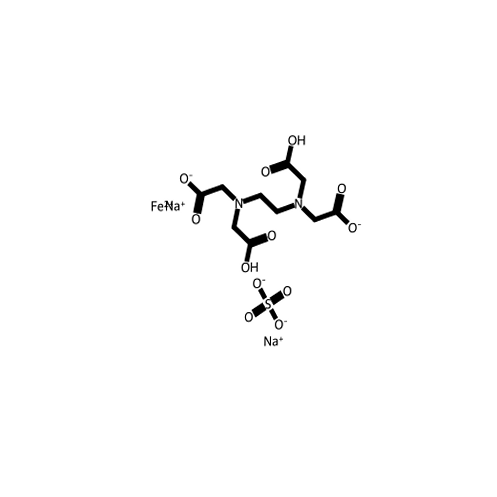 O=C([O-])CN(CCN(CC(=O)[O-])CC(=O)O)CC(=O)O.O=S(=O)([O-])[O-].[Fe+2].[Na+].[Na+]